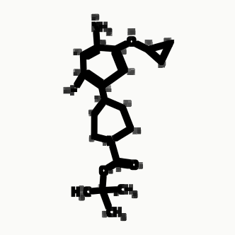 CC(C)(C)OC(=O)N1CCC(c2cc(OC3CC3)c(N)cc2F)CC1